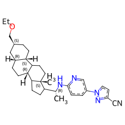 CCOC[C@H]1CC[C@@H]2C3CC[C@@]4(C)C(CCC4[C@@H](C)Nc4ccc(-n5ccc(C#N)n5)cn4)[C@@H]3CC[C@@H]2C1